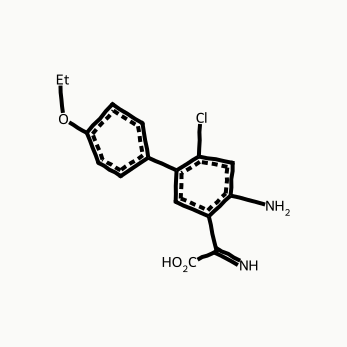 CCOc1ccc(-c2cc(C(=N)C(=O)O)c(N)cc2Cl)cc1